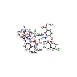 COC(=O)c1ccc2c(c1)N(C[C@@H]1CCO[C@H]1C(CN1CCN3CCOC[C@@H]3C1)(OC)/C(F)=C/C[C@H](C)[C@@H](C)S(=O)(=O)N(Cc1ccc(OC)cc1)Cc1ccc(OC)cc1)C[C@@]1(CCCc3cc(Cl)ccc31)CO2